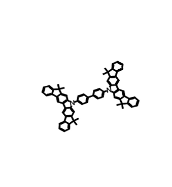 CC1(C)c2ccccc2-c2cc3c4cc5c(cc4n(-c4ccc(-c6ccc(-n7c8cc9c(cc8c8cc%10c(cc87)C(C)(C)c7ccccc7-%10)-c7ccccc7C9(C)C)cc6)cc4)c3cc21)C(C)(C)c1ccccc1-5